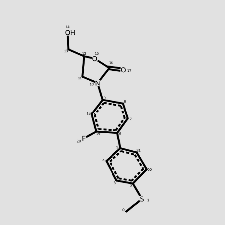 CSc1ccc(-c2ccc(N3CC(CO)OC3=O)cc2F)cc1